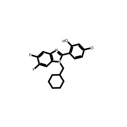 Oc1cc(Cl)ccc1-c1nc2cc(F)c(F)cc2n1CC1CCCCC1